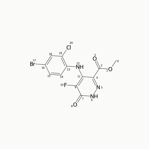 COC(=O)c1n[nH]c(=O)c(F)c1Nc1ccc(Br)cc1Cl